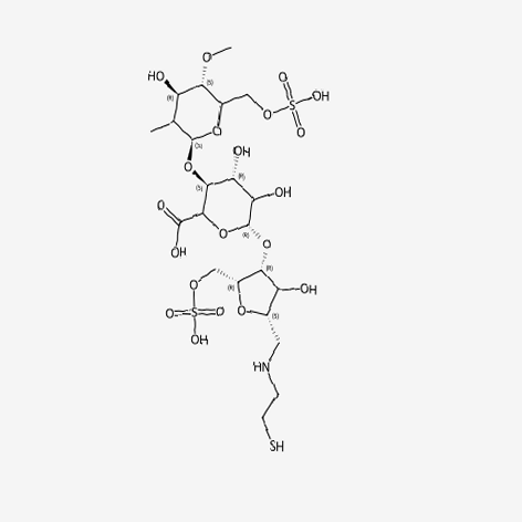 CO[C@@H]1C(COS(=O)(=O)O)O[C@@H](O[C@@H]2C(C(=O)O)O[C@@H](O[C@@H]3C(O)[C@H](CNCCS)O[C@@H]3COS(=O)(=O)O)C(O)[C@H]2O)C(C)[C@H]1O